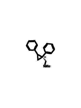 CNC[C@]1(c2ccccc2)CC1c1ccccc1